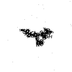 C#CCOc1cccc(-c2cccc(COc3cc(OCc4cncc(S(C)(=O)=O)c4)c(CNC(CS(=O)(=O)O)C(=O)NCCP(=O)(OCC)OCC)cc3Cl)c2C)c1C